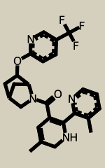 CC1=CC(C(=O)N2CC3CC(Oc4ccc(C(F)(F)F)cn4)C2C3)=C(c2ncccc2C)NC1